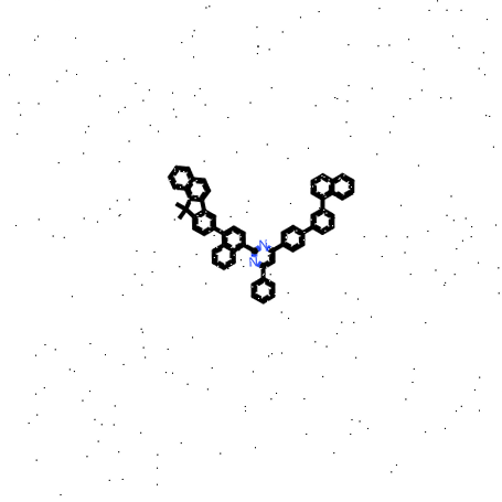 CC1(C)c2ccc(-c3ccc(-c4nc(-c5ccccc5)cc(-c5ccc(-c6cccc(-c7cccc8ccccc78)c6)cc5)n4)c4ccccc34)cc2-c2ccc3ccccc3c21